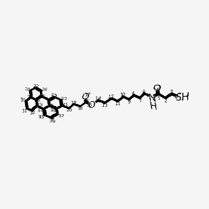 O=C(CCS)NCCCCCCCCCOC(=O)CCCc1ccc2c3cccc4cccc(c5cccc1c52)c43